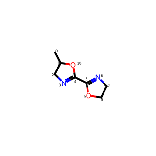 CC1CN=C(C2=NCCO2)O1